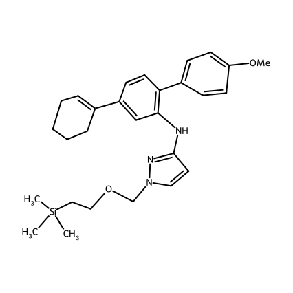 COc1ccc(-c2ccc(C3=CCCCC3)cc2Nc2ccn(COCC[Si](C)(C)C)n2)cc1